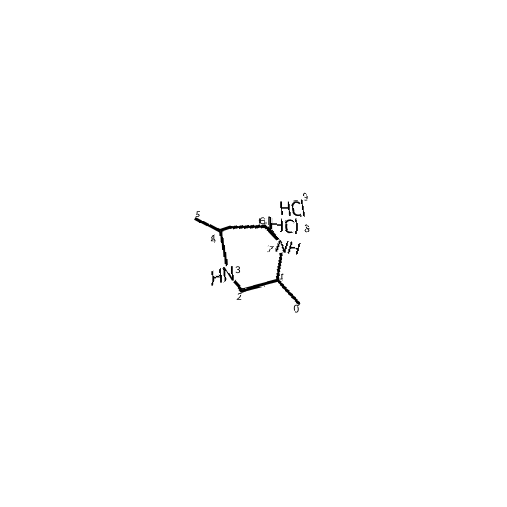 CC1CNC(C)CN1.Cl.Cl